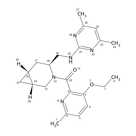 CCOc1ccc(C)nc1C(=O)N1C[C@@H]2C[C@@H]2C[C@H]1CNc1nc(C)cc(C)n1